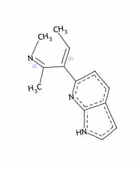 C/C=C(\C(C)=N/C)c1ccc2cc[nH]c2n1